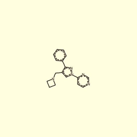 c1ccc(-c2nn(-c3ccncn3)cc2CN2CCC2)cc1